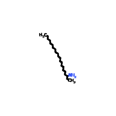 CCCCCCCCCCCCCCCCCCCC(N)CC